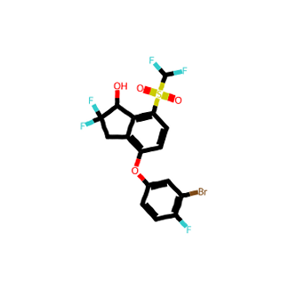 O=S(=O)(c1ccc(Oc2ccc(F)c(Br)c2)c2c1C(O)C(F)(F)C2)C(F)F